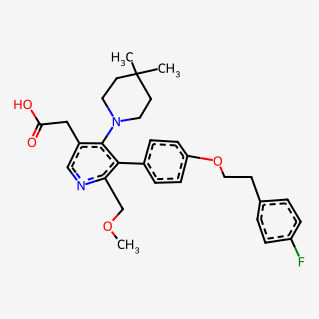 COCc1ncc(CC(=O)O)c(N2CCC(C)(C)CC2)c1-c1ccc(OCCc2ccc(F)cc2)cc1